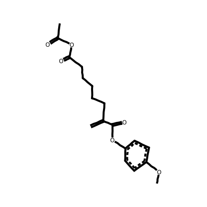 C=C(CCCCCC(=O)OC(C)=O)C(=O)Oc1ccc(OC)cc1